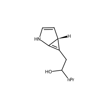 CCCC(O)CC1=C2NC=C[C@H]12